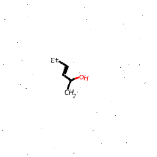 [CH2]C(O)C=CCC